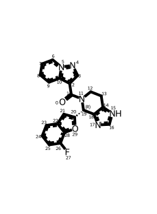 O=C(c1cnn2ccccc12)N1CCc2[nH]cnc2[C@@H]1c1cc2cccc(F)c2o1